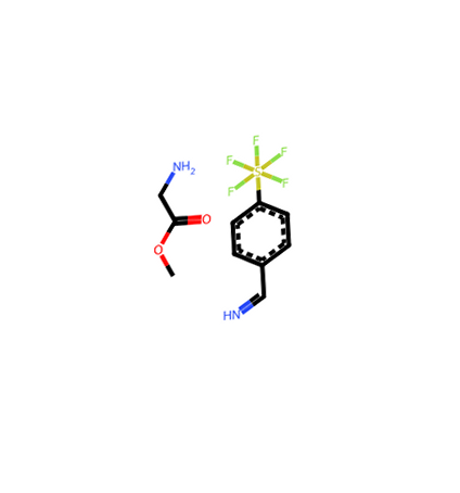 COC(=O)CN.N=Cc1ccc(S(F)(F)(F)(F)F)cc1